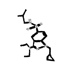 CCN(CC)c1nn(CC2CC2)c2ccc(S(=O)(=O)NCC(C)C)cc12